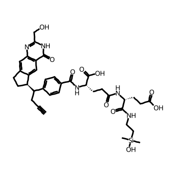 C#CCC(c1ccc(C(=O)N[C@@H](CCC(=O)N[C@H](CCC(=O)O)C(=O)NCC[Si](C)(C)O)C(=O)O)cc1)[C@H]1CCc2cc3nc(CO)[nH]c(=O)c3cc21